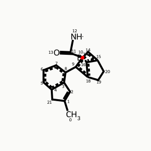 CC1=Cc2c(cccc2-c2c(C([NH])=O)cc3c(Br)c2CC3)C1